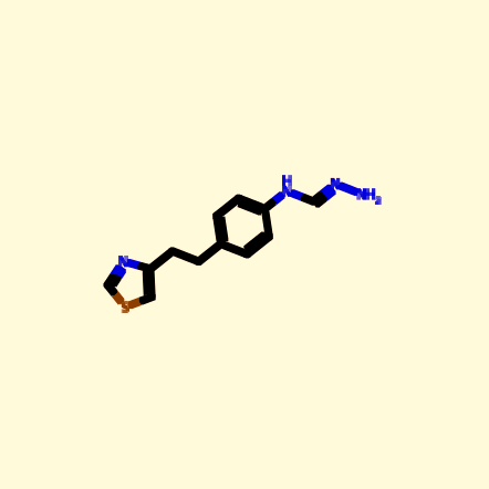 NN=CNc1ccc(CCc2cscn2)cc1